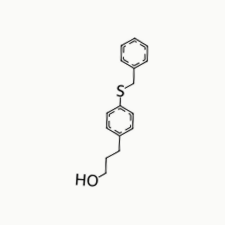 OCCCc1ccc(SCc2ccccc2)cc1